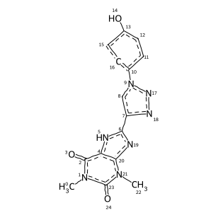 Cn1c(=O)c2[nH]c(-c3cn(-c4ccc(O)cc4)nn3)nc2n(C)c1=O